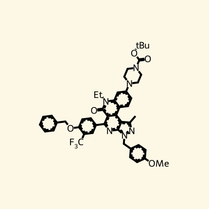 CCn1c(=O)c2c(-c3ccc(OCc4ccccc4)c(C(F)(F)F)c3)nc3c(c(C)nn3Cc3ccc(OC)cc3)c2c2ccc(N3CCN(C(=O)OC(C)(C)C)CC3)cc21